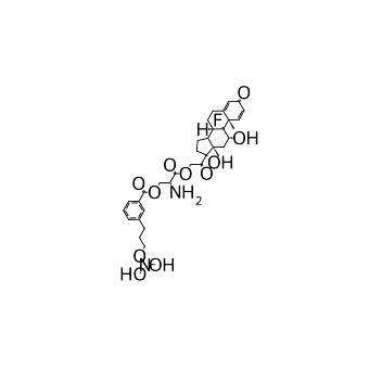 C[C@]12C=CC(=O)C=C1CC[C@H]1C3CCC(O)(C(=O)COC(=O)C(N)COC(=O)c4cccc(CCCON(O)O)c4)[C@@]3(C)C[C@H](O)C12F